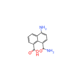 NC(=O)c1ccc(N)c2cccc(C(=O)O)c12